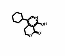 O=C1OCCc2c(C3CCCCC3)cnc(O)c21